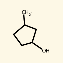 [CH2]C1CCC(O)C1